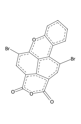 O=c1oc(=O)c2cc(Br)c3c4ccccc4oc4c(Br)cc1c2c43